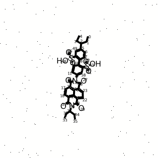 CCC(CC)c1ccc(-c2ccc(N3C(=O)c4ccc5c6c(ccc(c46)C3=O)C(=O)N(C(CC)CC)C5=O)cc2S(=O)(=O)O)c(S(=O)(=O)O)c1